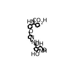 O=C(O)N[C@@H](c1ccccc1)c1cccc(OCc2ccc(CNC[C@H](O)c3ccc(O)c4[nH]c(=O)ccc34)nc2)c1